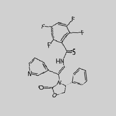 O=C1OC[C@@H](c2ccccc2)N1C(=[C]NC(=S)c1c(F)c(F)cc(F)c1F)c1cccnc1